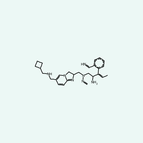 C=NN(CC1CN2C=C(CNCC3CCC3)C=CC2=N1)CC(N)/C(=C/C)c1ccccc1C=N